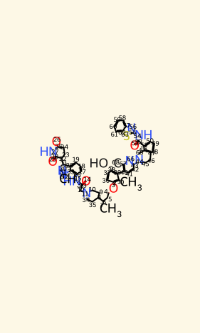 Cc1c(OCC[C@@H](C)C2CCN(CC(=O)Nc3cccc4c(C5CCC(=O)NC5=O)nn(C)c34)CC2)cccc1-c1ccc(N2CCc3cccc(C(=O)Nc4nc5ccccc5s4)c3C2)nc1C(=O)O